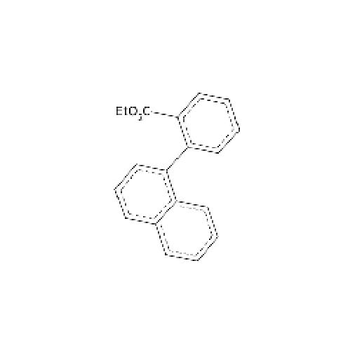 CCOC(=O)c1ccccc1-c1cccc2ccccc12